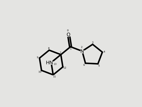 O=C(N1CCCC1)C12CCCC(C1)N2